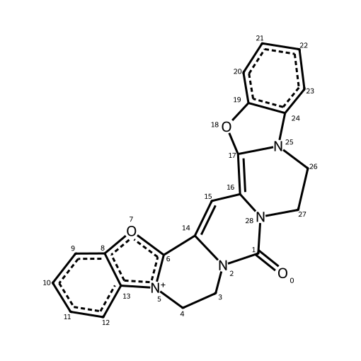 O=C1N2CC[n+]3c(oc4ccccc43)C2=CC2=C3Oc4ccccc4N3CCN12